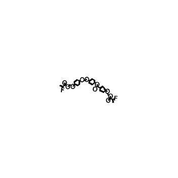 C=C(F)C(=O)OCOc1ccc(OCOc2ccc(OC(=O)c3ccc(OCOC(=O)C(=C)F)cc3)cc2)cc1